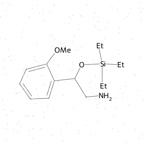 CC[Si](CC)(CC)OC(CN)c1ccccc1OC